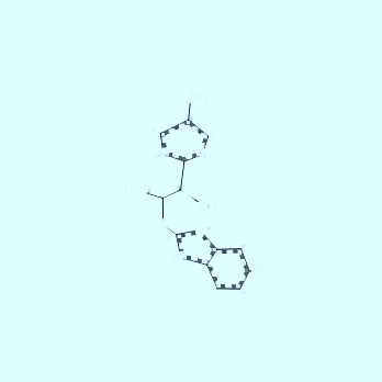 Cc1cnc([C@@H](O)C(C)Sc2nc3ccccc3s2)nc1